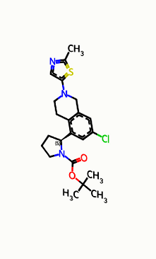 Cc1ncc(N2CCc3c(cc(Cl)cc3[C@@H]3CCCN3C(=O)OC(C)(C)C)C2)s1